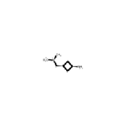 CN(C)C[C@H]1C[C@@H](N)C1